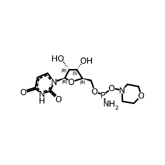 NP(OC[C@H]1O[C@@H](n2ccc(=O)[nH]c2=O)[C@H](O)[C@@H]1O)ON1CCOCC1